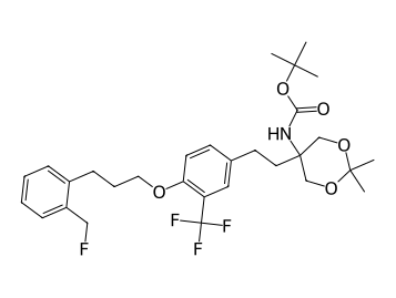 CC(C)(C)OC(=O)NC1(CCc2ccc(OCCCc3ccccc3CF)c(C(F)(F)F)c2)COC(C)(C)OC1